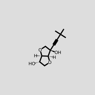 CC(C)(C)C#C[C@@]1(O)CO[C@@H]2[C@@H](O)CO[C@@H]21